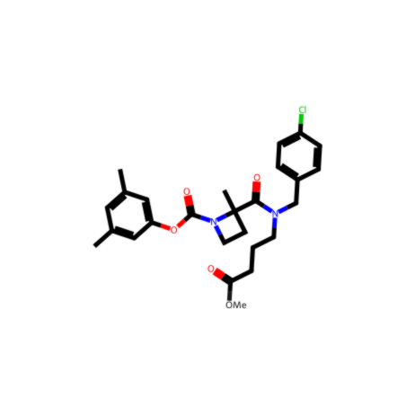 COC(=O)CCCN(Cc1ccc(Cl)cc1)C(=O)C1(C)CCN1C(=O)Oc1cc(C)cc(C)c1